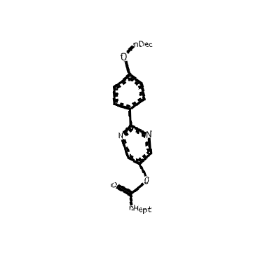 CCCCCCCCCCOc1ccc(-c2ncc(OC(=O)CCCCCCC)cn2)cc1